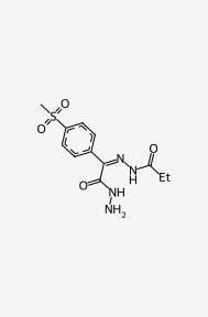 CCC(=O)NN=C(C(=O)NN)c1ccc(S(C)(=O)=O)cc1